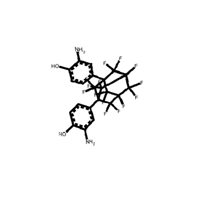 Nc1cc(C23C(F)(F)C4(F)C(F)(F)C(F)(C2(F)F)C(F)(F)C(c2ccc(O)c(N)c2)(C4(F)F)C3(F)F)ccc1O